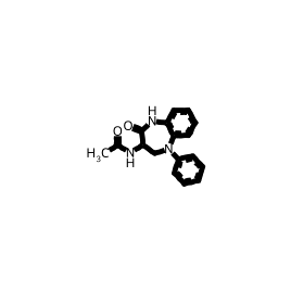 CC(=O)NC1CN(c2ccccc2)c2ccccc2NC1=O